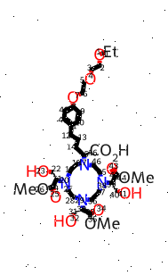 CCOCCOCCOc1ccc(CCC[C@@H](C(=O)O)N2CCN([C@@H](CO)C(=O)OC)CCN([C@@H](CO)C(=O)OC)CCN([C@@H](CO)C(=O)OC)CC2)cc1